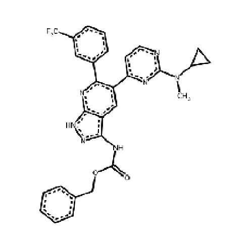 CN(c1nccc(-c2cc3c(NC(=O)OCc4ccccc4)n[nH]c3nc2-c2cccc(C(F)(F)F)c2)n1)C1CC1